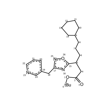 CC(C)(C)OC(=O)CC(CCCC1CCCCC1)c1nc(Cc2cccnc2)no1